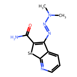 CN(C)N=Nc1c(C(N)=O)[se]c2ncccc12